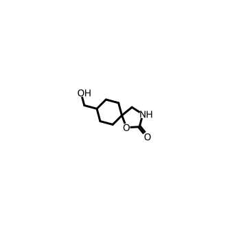 O=C1NCC2(CCC(CO)CC2)O1